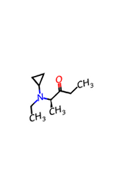 CCC(=O)[C@@H](C)N(CC)C1CC1